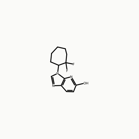 Oc1ccc2ncn(C3CCCCCC3(F)F)c2n1